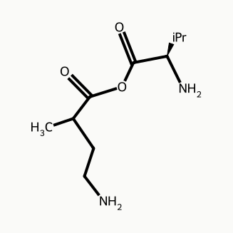 CC(CCN)C(=O)OC(=O)[C@H](N)C(C)C